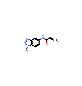 C=CC(=O)Nc1ccc2c(c1)nnn2C(C)=O